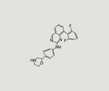 Fc1cccc(F)c1-c1cccc2cnc(Nc3ccc(C4CNCCO4)cc3)nc12